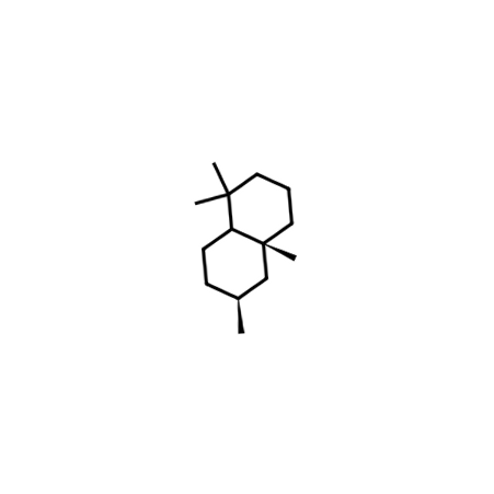 C[C@H]1CCC2C(C)(C)CCC[C@]2(C)C1